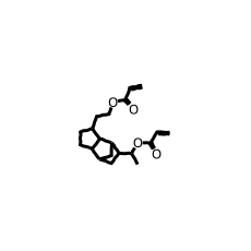 C=CC(=O)OCCC1CCC2C3CC(C(C)OC(=O)C=C)C(C3)C12